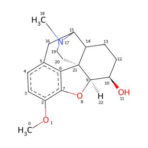 COc1ccc2c3c1O[C@@H]1[C@H](O)CCC4C(C2)N(C)CC[C@]341